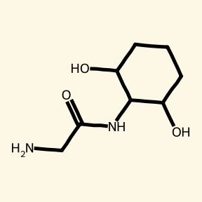 NCC(=O)NC1C(O)CCCC1O